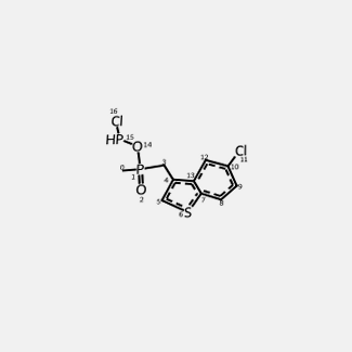 CP(=O)(Cc1csc2ccc(Cl)cc12)OPCl